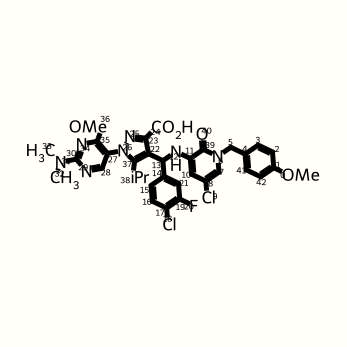 COc1ccc(Cn2cc(Cl)cc(NC(c3ccc(Cl)c(F)c3)c3c(C(=O)O)nn(-c4cnc(N(C)C)nc4OC)c3C(C)C)c2=O)cc1